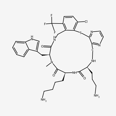 CN1C(=O)[C@H](CCCCN)NC(=O)[C@H](CCCN)NCc2nccnc2Sc2c(Cl)ccc(C(F)(F)F)c2CNC(=O)[C@@H]1Cc1c[nH]c2ccccc12